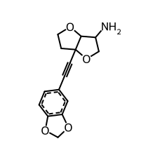 NC1COC2(C#Cc3ccc4c(c3)OCO4)CCOC12